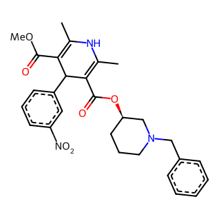 COC(=O)C1=C(C)NC(C)=C(C(=O)O[C@@H]2CCCN(Cc3ccccc3)C2)C1c1cccc([N+](=O)[O-])c1